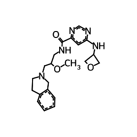 COC(CNC(=O)c1cc(NC2COC2)ncn1)CN1CCc2ccccc2C1